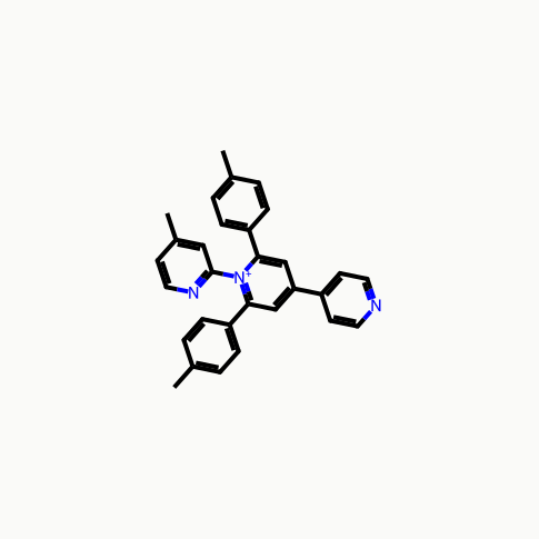 Cc1ccc(-c2cc(-c3ccncc3)cc(-c3ccc(C)cc3)[n+]2-c2cc(C)ccn2)cc1